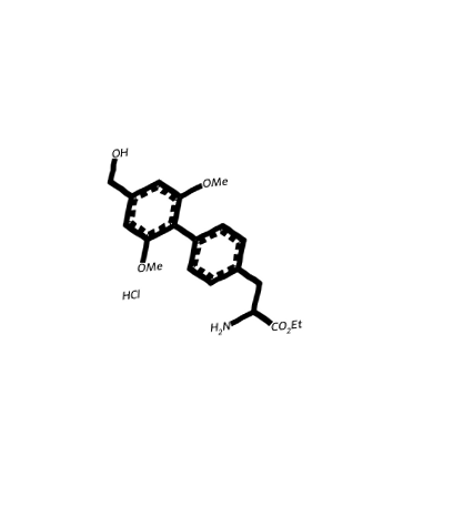 CCOC(=O)C(N)Cc1ccc(-c2c(OC)cc(CO)cc2OC)cc1.Cl